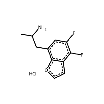 CC(N)Cc1cc(F)c(F)c2ccoc12.Cl